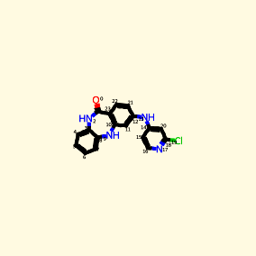 O=C1Nc2ccccc2Nc2cc(Nc3ccnc(Cl)c3)ccc21